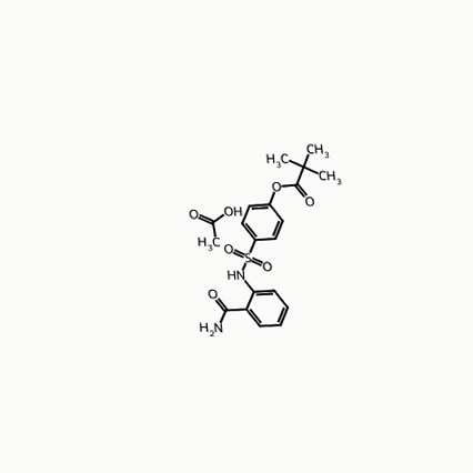 CC(=O)O.CC(C)(C)C(=O)Oc1ccc(S(=O)(=O)Nc2ccccc2C(N)=O)cc1